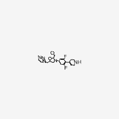 O=CC1OC(Cn2ccnn2)CN1c1cc(F)c(C2=CCNCC2)c(F)c1